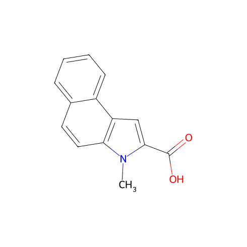 Cn1c(C(=O)O)cc2c3ccccc3ccc21